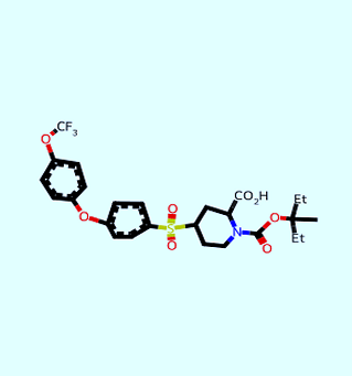 CCC(C)(CC)OC(=O)N1CCC(S(=O)(=O)c2ccc(Oc3ccc(OC(F)(F)F)cc3)cc2)CC1C(=O)O